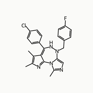 CC1=C(C)c2c(-c3ccc(Cl)cc3)[nH]n(Cc3ccc(F)cc3)c3cnc(C)n3c2=N1